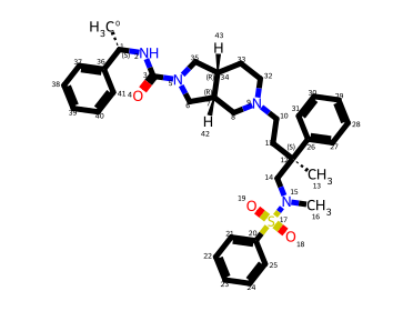 C[C@H](NC(=O)N1C[C@H]2CN(CC[C@](C)(CN(C)S(=O)(=O)c3ccccc3)c3ccccc3)CC[C@H]2C1)c1ccccc1